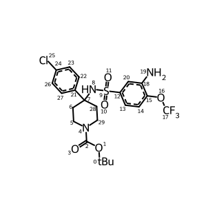 CC(C)(C)OC(=O)N1CCC(NS(=O)(=O)c2ccc(OC(F)(F)F)c(N)c2)(c2ccc(Cl)cc2)CC1